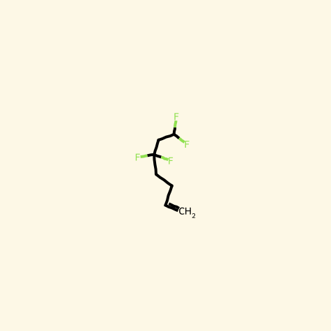 C=CCCC(F)(F)CC(F)F